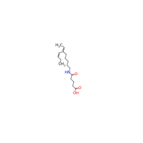 C/C=C(\C=C/CC)CCCCCNC(=O)CCCC(=O)O